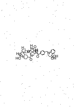 CC(C)(C)C1CC(C(=O)N2CC(NC(=O)c3ccc(CN4CCS(O)(O)c5ccccc54)cc3)C3(C2)NC(=O)NC3=O)CCN1C(=O)O